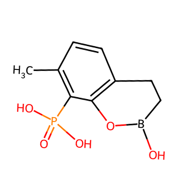 Cc1ccc2c(c1P(=O)(O)O)OB(O)CC2